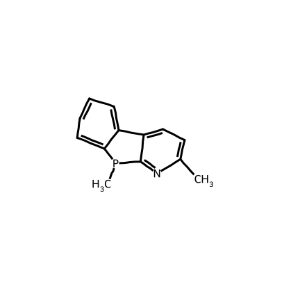 Cc1ccc2c3ccccc3p(C)c2n1